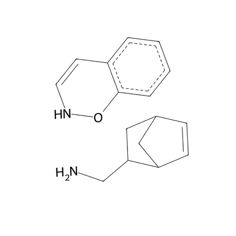 C1=Cc2ccccc2ON1.NCC1CC2C=CC1C2